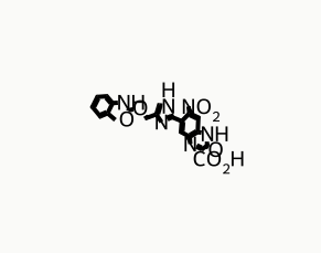 Cc1ccccc1NC(=O)OCc1c[nH]c(-c2cc3nc(C(=O)O)c(=O)[nH]c3cc2[N+](=O)[O-])n1